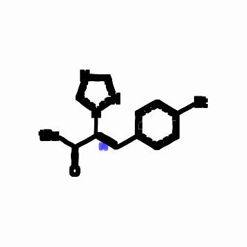 CCc1ccc(/C=C(/C(=O)C(C)(C)C)n2cncn2)cc1